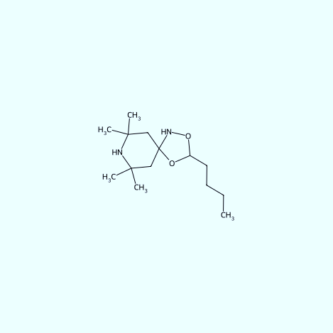 CCCCC1ONC2(CC(C)(C)NC(C)(C)C2)O1